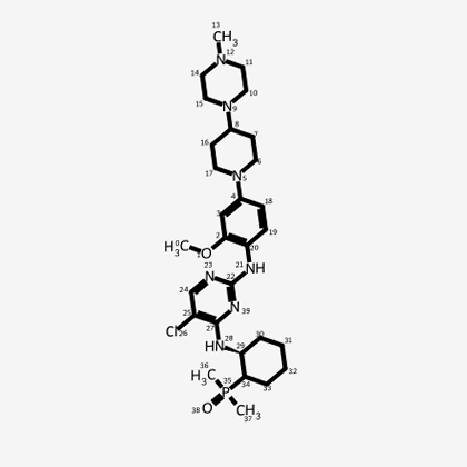 COc1cc(N2CCC(N3CCN(C)CC3)CC2)ccc1Nc1ncc(Cl)c(N[C@H]2CCCCC2P(C)(C)=O)n1